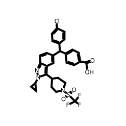 O=C(O)c1ccc(C(c2ccc(Cl)cc2)c2ccc3nn(C4CC4)c(C4CCN(S(=O)(=O)C(F)(F)F)CC4)c3c2)cc1